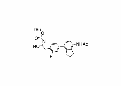 CC(=O)Nc1ccc(-c2ccc(C[C@@H](C#N)NC(=O)OC(C)(C)C)c(F)c2)c2c1CCC2